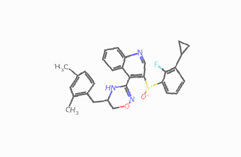 Cc1ccc(CC2CON=C(c3c([S+]([O-])c4cccc(C5CC5)c4F)cnc4ccccc34)N2)c(C)c1